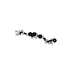 C=C(CO)C(=O)OCCCOc1ccc2c(c1)C(C)c1cc(OC(=O)c3ccc(OCCCOC(=O)C(=C)CC(=O)OC4CCCCC4)cc3)ccc1-2